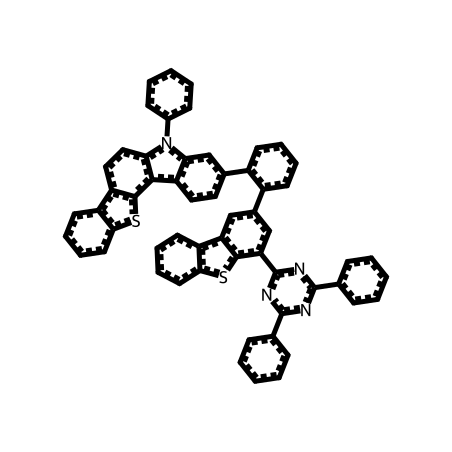 c1ccc(-c2nc(-c3ccccc3)nc(-c3cc(-c4ccccc4-c4ccc5c6c7sc8ccccc8c7ccc6n(-c6ccccc6)c5c4)cc4c3sc3ccccc34)n2)cc1